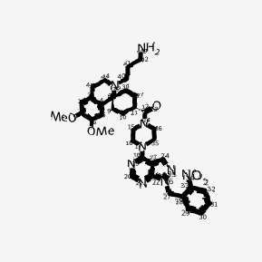 COc1cc2c(cc1OC)[C@]1(CC[C@@H](C(=O)N3CCN(c4ncnc5c4cnn5Cc4ccccc4[N+](=O)[O-])CC3)CC1)N(CCCN)CC2